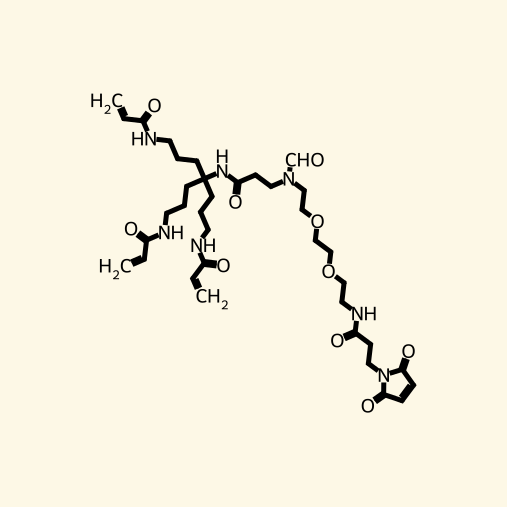 C=CC(=O)NCCCC(CCCNC(=O)C=C)(CCCNC(=O)C=C)NC(=O)CCN(C=O)CCOCCOCCNC(=O)CCN1C(=O)C=CC1=O